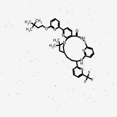 CC(C)(C)CCOc1cccc(-c2ccc3c(n2)N2CC(CCC(c4cccc(C(F)(F)F)n4)Nc4cccc(n4)SNC3=O)CC2(C)C)n1